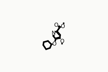 COC(=O)c1cc(OC)c(OC2CCCCC2)cn1